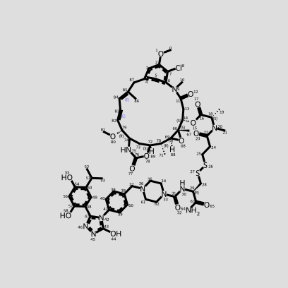 COc1cc2cc(c1Cl)N(C)C(=O)C[C@H](OC(=O)[C@H](C)N(C)C(=O)CCSSC[C@H](NC(=O)N1CCN(Cc3ccc(-n4c(O)nnc4-c4cc(C(C)C)c(O)cc4O)cc3)CC1)C(N)=O)[C@]1(C)O[C@H]1[C@H](C)[C@@H]1CC(NC(=O)O1)[C@H](OC)/C=C/C=C(\C)C2